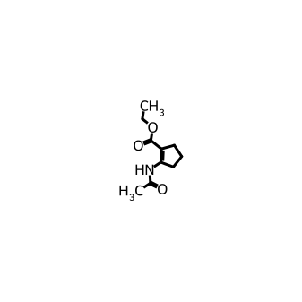 CCOC(=O)C1=C(NC(C)=O)CCC1